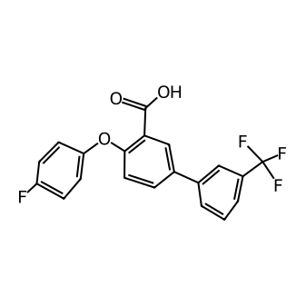 O=C(O)c1cc(-c2cccc(C(F)(F)F)c2)ccc1Oc1ccc(F)cc1